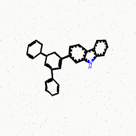 C1=CCC(C2C=C(C3=CCCC=C3)C=C(c3ccc4c(c3)[nH]c3ccccc34)C2)C=C1